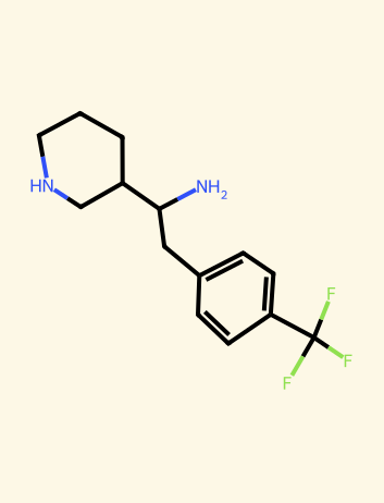 NC(Cc1ccc(C(F)(F)F)cc1)C1CCCNC1